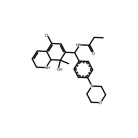 CCC(=O)NC(C1=CC(Cl)=C2C=CCNC2C1(C)O)c1ccc(N2CCOCC2)cc1